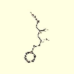 CC(=O)[C@H](CSc1ccccc1)C[C@H](O)CN=[N+]=[N-]